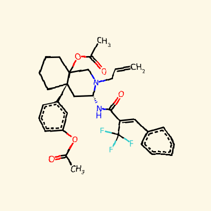 C=CCN1CC2(OC(C)=O)CCCC[C@@]2(c2cccc(OC(C)=O)c2)C[C@H]1NC(=O)C(=Cc1ccccc1)C(F)(F)F